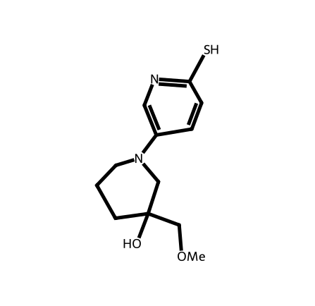 COCC1(O)CCCN(c2ccc(S)nc2)C1